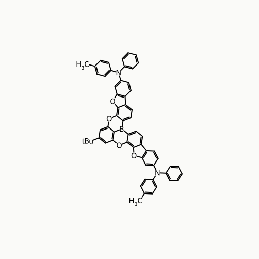 Cc1ccc(N(c2ccccc2)c2ccc3c(c2)oc2c4c(ccc23)B2c3ccc5c(oc6cc(N(c7ccccc7)c7ccc(C)cc7)ccc65)c3Oc3cc(C(C)(C)C)cc(c32)O4)cc1